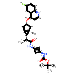 CC(C(=O)NC12CC(NC(=O)OC(C)(C)C)(C1)C2)[C@@H]1C2=C[C@H](Oc3ccnc4ccc(F)cc34)C[C@H]21